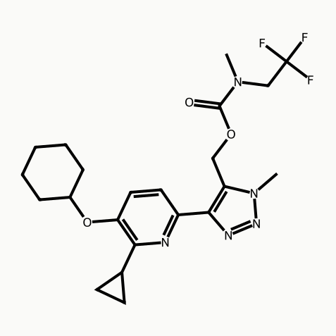 CN(CC(F)(F)F)C(=O)OCc1c(-c2ccc(OC3CCCCC3)c(C3CC3)n2)nnn1C